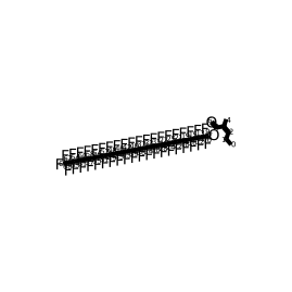 CCC=C(C)C(=O)OC(F)(F)C(F)(F)C(F)(F)C(F)(F)C(F)(F)C(F)(F)C(F)(F)C(F)(F)C(F)(F)C(F)(F)C(F)(F)C(F)(F)C(F)(F)C(F)(F)C(F)(F)C(F)(F)C(F)(F)C(F)(F)C(F)(F)C(F)(F)F